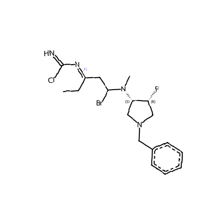 CC/C(CC(Br)N(C)[C@H]1CN(Cc2ccccc2)C[C@H]1F)=N\C(=N)Cl